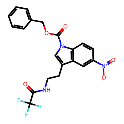 O=C(OCc1ccccc1)n1cc(CCNC(=O)C(F)(F)F)c2cc([N+](=O)[O-])ccc21